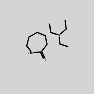 CCN(CC)CC.O=C1CCCCCN1